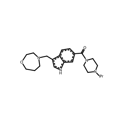 CC(C)N1CCN(C(=O)c2ccc3c(CN4CCCOCC4)c[nH]c3c2)CC1